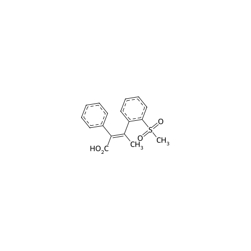 CC(=C(C(=O)O)c1ccccc1)c1ccccc1S(C)(=O)=O